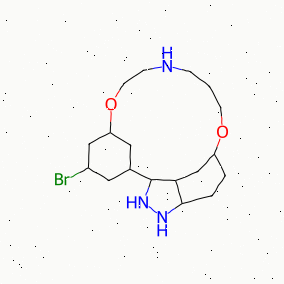 BrC1CC2CC(C1)C1NNC3CCC(CC31)OCCCNCCO2